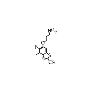 CC1C(F)=C(OCCCN)C=C2SC(C#N)=NC21